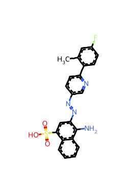 Cc1cc(F)ccc1-c1ccc(N=Nc2cc(S(=O)(=O)O)c3ccccc3c2N)cn1